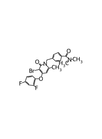 Cc1cc(Oc2ccc(F)cc2F)c(Br)c(=O)n1Cc1ccc(C(=O)N(C)C)cc1